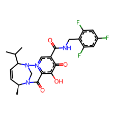 CC(C)C1C=C[C@H](C)N2CN1n1cc(C(=O)NCc3c(F)cc(F)cc3F)c(=O)c(O)c1C2=O